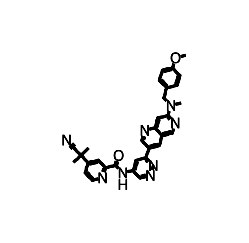 COc1ccc(CN(C)c2cc3ncc(-c4cc(NC(=O)c5cc(C(C)(C)C#N)ccn5)cnn4)cc3cn2)cc1